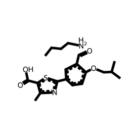 CCCCN.Cc1nc(-c2ccc(OCC(C)C)c(C=O)c2)sc1C(=O)O